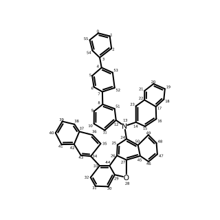 c1ccc(-c2ccc(-c3cccc(N(c4ccc5ccccc5c4)c4cc5c(oc6cccc(-c7ccc8ccccc8c7)c65)c5ccccc45)c3)cc2)cc1